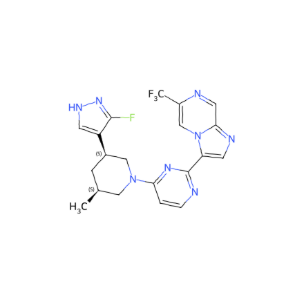 C[C@H]1C[C@@H](c2c[nH]nc2F)CN(c2ccnc(-c3cnc4cnc(C(F)(F)F)cn34)n2)C1